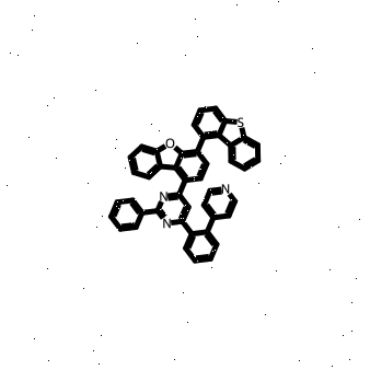 c1ccc(-c2nc(-c3ccccc3-c3ccncc3)cc(-c3ccc(-c4cccc5sc6ccccc6c45)c4oc5ccccc5c34)n2)cc1